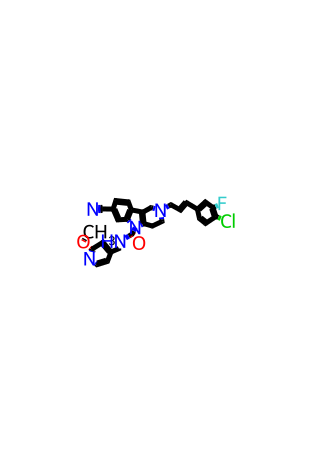 COc1cc(CNC(=O)n2c3c(c4ccc(C#N)cc42)CN(CC=Cc2ccc(Cl)c(F)c2)CC3)ccn1